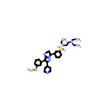 CCN(CC)CCN(CC)S(=O)(=O)c1cccc(-c2ccnc3c(-c4cccc(OC)c4)c(-c4ccncc4)nn23)c1